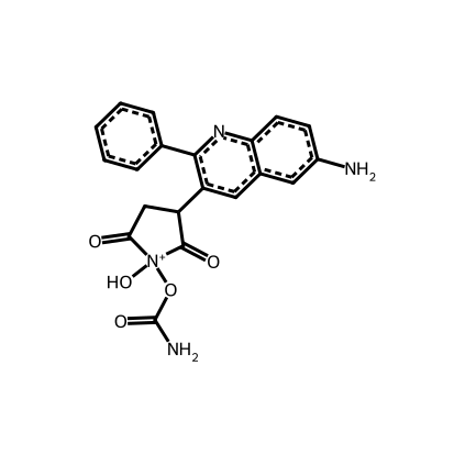 NC(=O)O[N+]1(O)C(=O)CC(c2cc3cc(N)ccc3nc2-c2ccccc2)C1=O